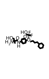 CC(N)(CO)C(=O)Nc1ccc(OCCCCC2CCCCC2)cc1.O=C(O)C(F)(F)F